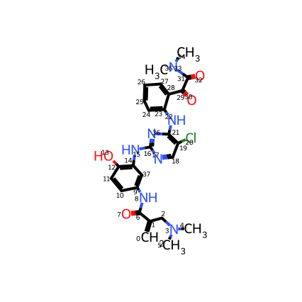 C=C(CN(C)C)C(=O)Nc1ccc(O)c(Nc2ncc(Cl)c(Nc3ccccc3C(=O)C(=O)N(C)C)n2)c1